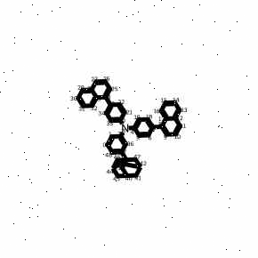 c1cc(N(c2ccc(-c3cccc4ccccc34)cc2)c2ccc(-c3cccc4ccccc34)cc2)cc(C23CC4CC(CC(C4)C2)C3)c1